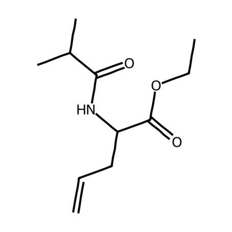 C=CCC(NC(=O)C(C)C)C(=O)OCC